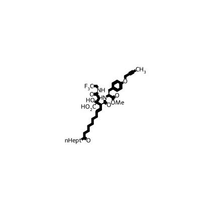 CC#CCOc1ccc(C[C@H](NC(=O)[C@@H](/C=C/CCCCCCC(=O)CCCCCCC)[C@@](O)(CC(=O)NCC(F)(F)F)C(=O)O)C(=O)OC)cc1